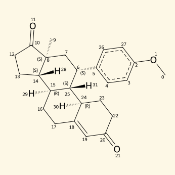 COc1ccc([C@H]2C[C@]3(C)C(=O)CC[C@H]3[C@@H]3CCC4=CC(=O)CC[C@@H]4[C@H]32)cc1